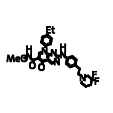 CCc1ccc(-n2cc(C(=O)NOC)c(=O)c3cnc(Nc4ccc(CCN5CCCC(F)(F)C5)cc4)nc32)cc1